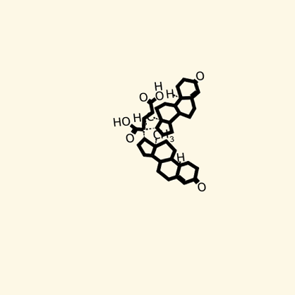 C[C@]12CCC3C(CCC4=CC(=O)CC[C@@H]43)C1CC[C@@H]2C(CCC(=O)O)(C(=O)O)[C@H]1CCC2C3CCC4=CC(=O)CC[C@@H]4C3CC[C@@]21C